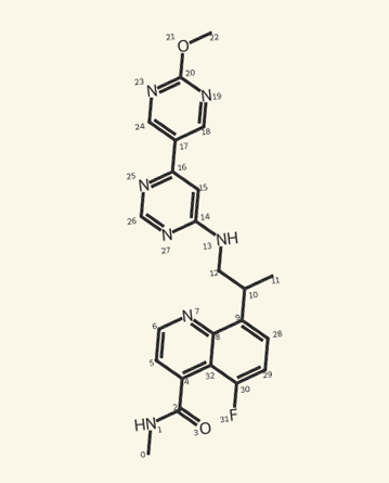 CNC(=O)c1ccnc2c(C(C)CNc3cc(-c4cnc(OC)nc4)ncn3)ccc(F)c12